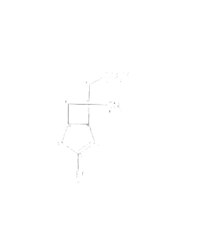 CCC1=CC2C(C1)CC2(C#N)CC(=O)O